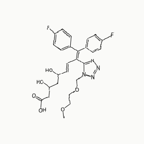 COCCOCn1nnnc1C(/C=C/C(O)CC(O)CC(=O)O)=C(c1ccc(F)cc1)c1ccc(F)cc1